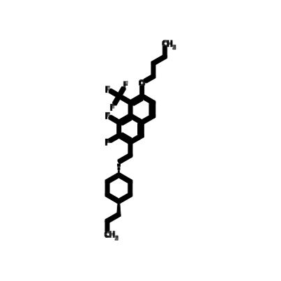 CCCCOc1ccc2cc(CC[C@H]3CC[C@H](CCC)CC3)c(F)c(F)c2c1C(F)(F)F